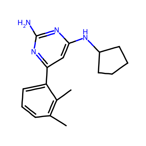 Cc1cccc(-c2cc(NC3CCCC3)nc(N)n2)c1C